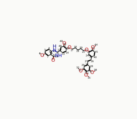 COc1ccc2c(c1)C(=O)NC(c1ccc(OCCCCCOc3cc(C=Cc4cc(OC)c(OC)c(OC)c4)ccc3OC)c(OC)c1)N2